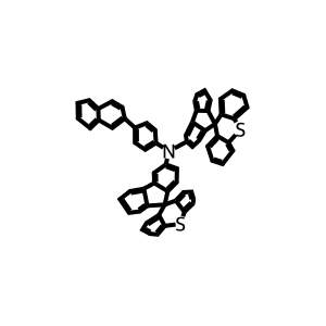 c1ccc2c(c1)Sc1ccccc1C21c2ccccc2-c2cc(N(c3ccc(-c4ccc5ccccc5c4)cc3)c3ccc4c(c3)-c3ccccc3C43c4ccccc4Sc4ccccc43)ccc21